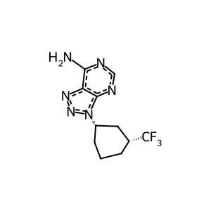 Nc1ncnc2c1nnn2[C@H]1CCC[C@@H](C(F)(F)F)C1